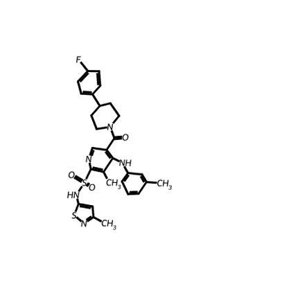 Cc1cccc(Nc2c(C(=O)N3CCC(c4ccc(F)cc4)CC3)cnc(S(=O)(=O)Nc3cc(C)ns3)c2C)c1